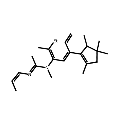 C=C/C(=C\C(=C(\C)CC)N(C)/C(C)=N/C=C\C)C1=C(C)CC(C)(C)C1C